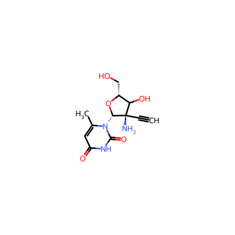 C#C[C@@]1(N)C(O)[C@@H](CO)O[C@H]1n1c(C)cc(=O)[nH]c1=O